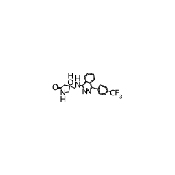 O=C1CC(O)(CNc2nnc(-c3ccc(C(F)(F)F)cc3)c3ccccc23)CN1